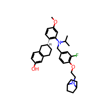 COc1ccc([C@@H]2CCc3cc(O)ccc3C2)c(N(Cc2ccc(OCCN3C4CCC3CC4)c(F)c2)C(C)C)c1